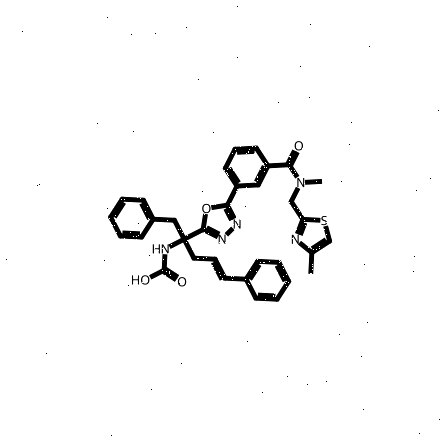 Cc1csc(CN(C)C(=O)c2cccc(-c3nnc(C(CC=Cc4ccccc4)(Cc4ccccc4)NC(=O)O)o3)c2)n1